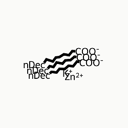 CCCCCCCCCCCCCCCCCC(=O)[O-].CCCCCCCCCCCCCCCCCC(=O)[O-].CCCCCCCCCCCCCCCCCC(=O)[O-].[K+].[Zn+2]